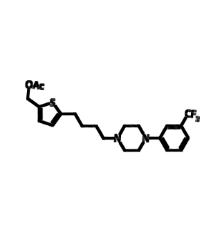 CC(=O)OCc1ccc(CCCCN2CCN(c3cccc(C(F)(F)F)c3)CC2)s1